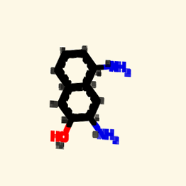 Nc1cc2c(N)cccc2cc1O